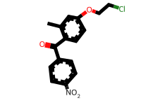 Cc1cc(OCCCl)ccc1C(=O)c1ccc([N+](=O)[O-])cc1